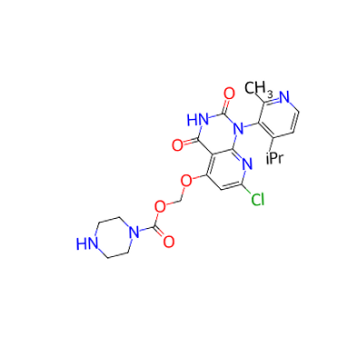 Cc1nccc(C(C)C)c1-n1c(=O)[nH]c(=O)c2c(OCOC(=O)N3CCNCC3)cc(Cl)nc21